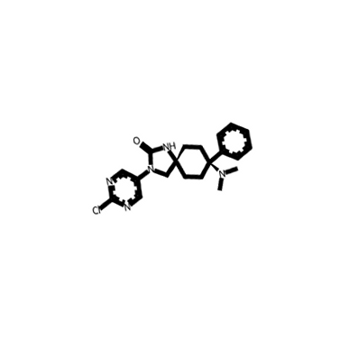 CN(C)[C@]1(c2ccccc2)CC[C@@]2(CC1)CN(c1cnc(Cl)nc1)C(=O)N2